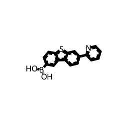 OB(O)c1ccc2sc3cc(-c4ccccn4)ccc3c2c1